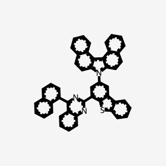 c1ccc2c(-c3nc(-c4cc(-n5c6ccc7ccccc7c6c6c7ccccc7ccc65)cc5c4sc4ccccc45)nc4ccccc34)cccc2c1